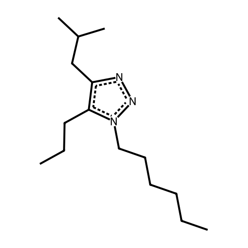 CCCCCCn1nnc(CC(C)C)c1CCC